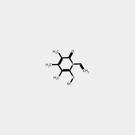 C=Cn1c(SCC)c(C)c(C)c(C)c1=O